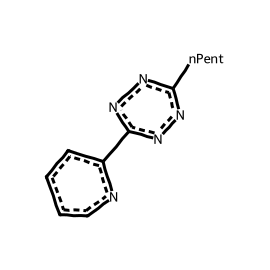 CCCCCc1nnc(-c2ccccn2)nn1